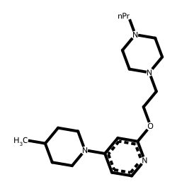 CCCN1CCN(CCOc2cc(N3CCC(C)CC3)ccn2)CC1